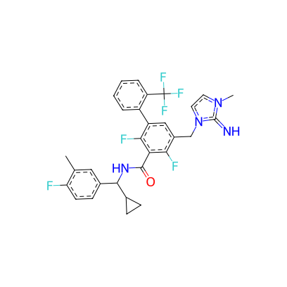 Cc1cc(C(NC(=O)c2c(F)c(Cn3ccn(C)c3=N)cc(-c3ccccc3C(F)(F)F)c2F)C2CC2)ccc1F